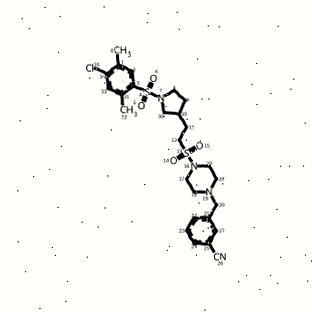 Cc1cc(S(=O)(=O)N2CCC(CCS(=O)(=O)N3CCN(Cc4cccc(C#N)c4)CC3)C2)c(C)cc1Cl